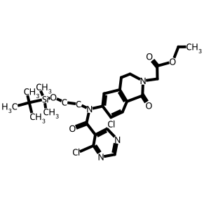 CCOC(=O)CN1CCc2cc(N(CCO[Si](C)(C)C(C)(C)C)C(=O)c3c(Cl)ncnc3Cl)ccc2C1=O